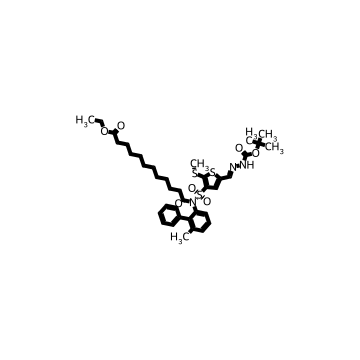 CCOC(=O)CCCCCCCCCCC(=O)N(c1cccc(C)c1-c1ccccc1)S(=O)(=O)c1cc(C=NNC(=O)OC(C)(C)C)sc1SC